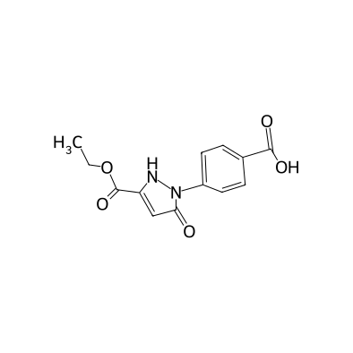 CCOC(=O)c1cc(=O)n(-c2ccc(C(=O)O)cc2)[nH]1